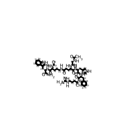 CC(=O)NCC(=O)NC(CCC(=O)NCCCC(NC=O)C(=O)N[C@@H](Cc1c[nH]c2ccccc12)C(N)=O)C(=O)N[C@@H](Cc1c[nH]cn1)C(=O)NC(Cc1ccccc1)C(=O)N[C@H](C)CCCNC(=N)N